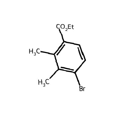 CCOC(=O)c1ccc(Br)c(C)c1C